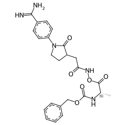 C[C@H](NC(=O)OCc1ccccc1)C(=O)ONC(=O)CC1CCN(c2ccc(C(=N)N)cc2)C1=O